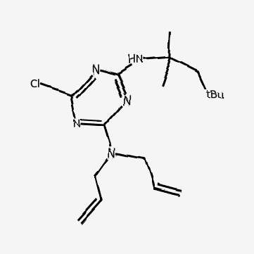 C=CCN(CC=C)c1nc(Cl)nc(NC(C)(C)CC(C)(C)C)n1